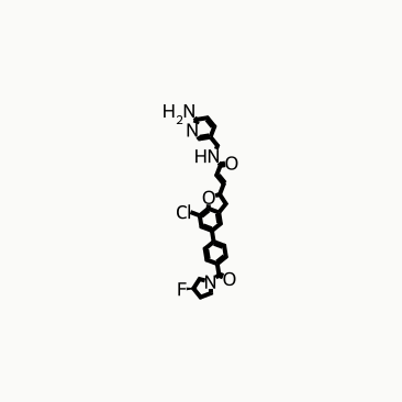 Nc1ccc(CNC(=O)/C=C/C2Cc3cc(-c4ccc(C(=O)N5CC[C@@H](F)C5)cc4)cc(Cl)c3O2)cn1